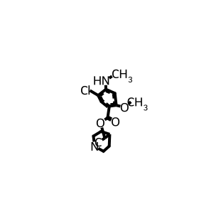 CNc1cc(OC)c(C(=O)OC2CN3CCC2CC3)cc1Cl